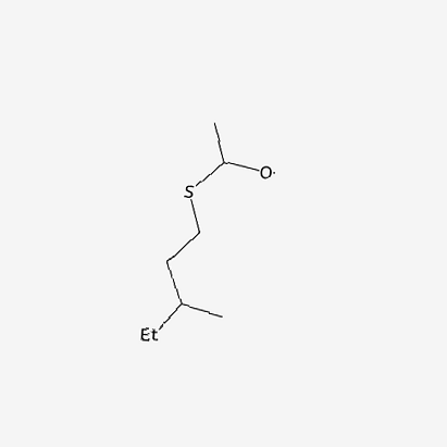 CCC(C)CCSC(C)[O]